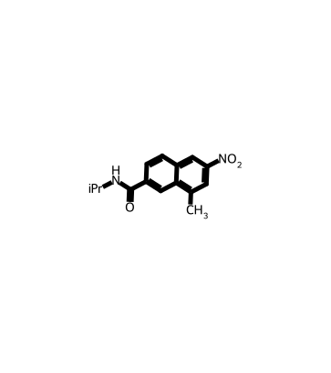 Cc1cc([N+](=O)[O-])cc2ccc(C(=O)NC(C)C)cc12